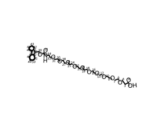 O=C(O)CCOCCOCCOCCOCCOCCOCCOCCOCCOCCOCCNC(=O)OCC1c2ccccc2-c2ccccc21